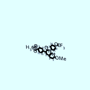 COc1ccc2cc(-c3ccc(S(C)(=O)=O)cc3)c(=O)n(-c3ccc(OC(F)(F)F)cc3)c2n1